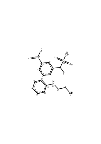 CC(c1cccc([N+](=O)[O-])c1)S(=O)(=O)O.OCCNc1ccccc1